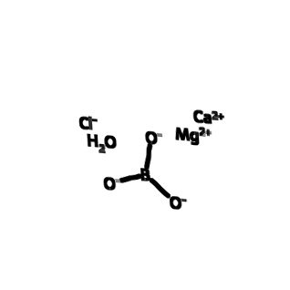 O.[Ca+2].[Cl-].[Mg+2].[O-]B([O-])[O-]